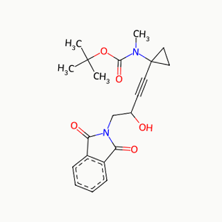 CN(C(=O)OC(C)(C)C)C1(C#CC(O)CN2C(=O)c3ccccc3C2=O)CC1